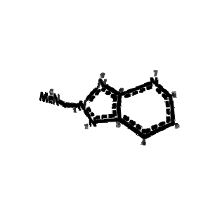 CNn1nc2cccnc2n1